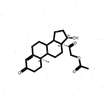 CC(=O)OCC(=O)[C@]12CCC3C(CCC4=CC(=O)CC[C@@]43C)C1CC[C@H]2O